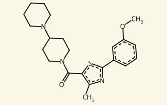 COc1cccc(-c2nc(C)c(C(=O)N3CCC(N4CCCCC4)CC3)s2)c1